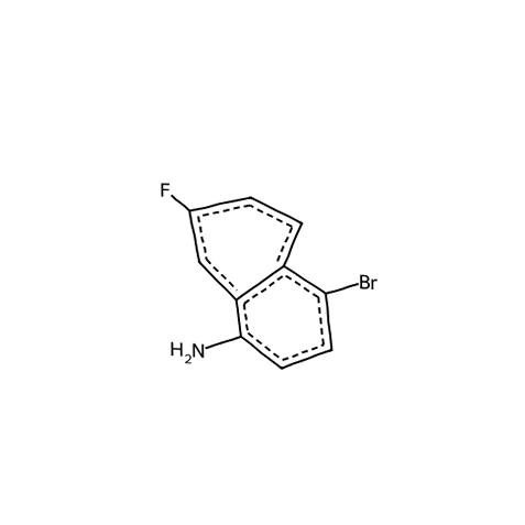 Nc1ccc(Br)c2ccc(F)cc12